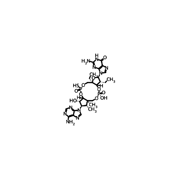 CC[C@H]1[C@H](n2cnc3c(=O)[nH]c(N)nc32)O[C@]2(CC)COP(=O)(S)O[C@H]3[C@@H](O)[C@H](n4cnc5c(N)ncnc54)[C@@H](C)[C@]3(C)COP(=O)(O)O[C@@H]12